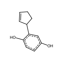 Oc1ccc(O)c(C2C=CCC2)c1